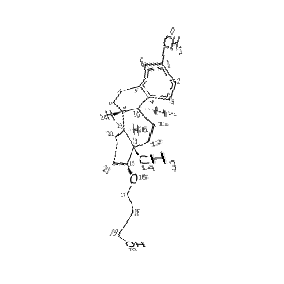 Cc1ccc2c(c1)CC[C@@H]1[C@@H]2CC[C@]2(C)[C@@H](OCCCO)CC[C@@H]12